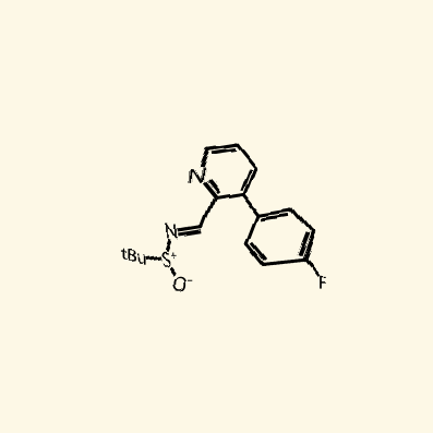 CC(C)(C)[S+]([O-])N=Cc1ncccc1-c1ccc(F)cc1